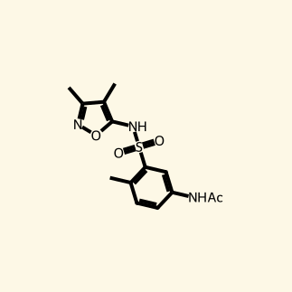 CC(=O)Nc1ccc(C)c(S(=O)(=O)Nc2onc(C)c2C)c1